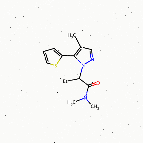 CCC(C(=O)N(C)C)n1ncc(C)c1-c1cccs1